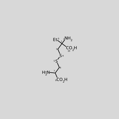 CCC(N)(CSSCC(N)C(=O)O)C(=O)O